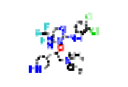 CN(C)CC(=O)C(Nc1nc(Nc2ccc(Cl)c(Cl)c2)ncc1C(F)(F)F)C1CCNCC1